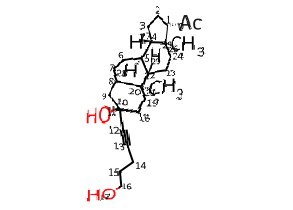 CC(=O)[C@H]1CC[C@H]2[C@@H]3CCC4CC(O)(C#CCCCO)CC[C@]4(C)[C@H]3CC[C@]12C